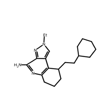 CCn1cc2c3c(nc(N)c2n1)CCCC3CCC1CCCCC1